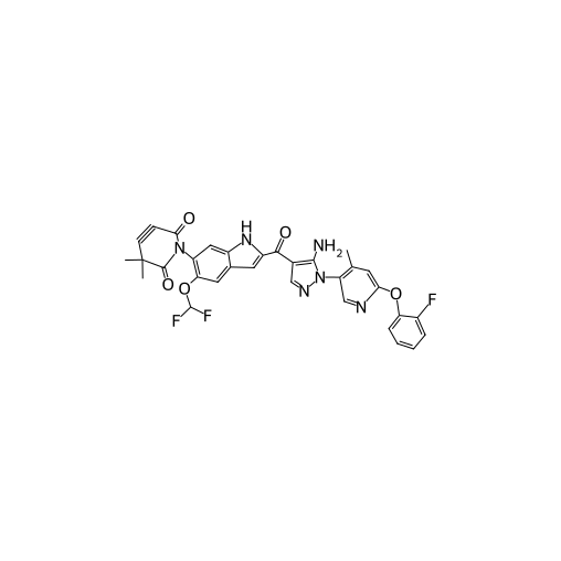 Cc1cc(Oc2ccccc2F)ncc1-n1ncc(C(=O)c2cc3cc(OC(F)F)c(N4C(=O)C#CC(C)(C)C4=O)cc3[nH]2)c1N